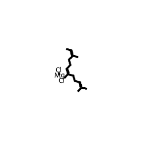 CC=C(C)CCC=C(C)CCC=C(C)C.[Cl][Mg][Cl]